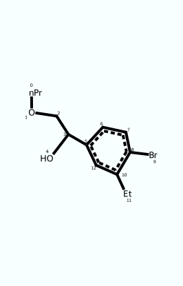 CCCOCC(O)c1ccc(Br)c(CC)c1